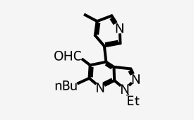 CCCCc1nc2c(cnn2CC)c(-c2cncc(C)c2)c1C=O